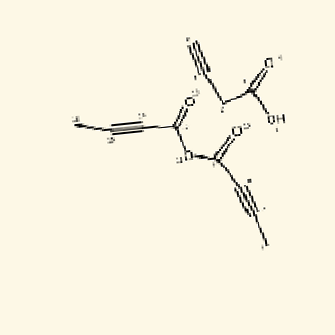 C#CCC(=O)O.CC#CC(=O)OC(=O)C#CC